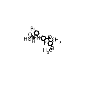 COc1ccc(C(=O)c2ccc(Nc3ccc(Br)cc3NC(=O)O)cc2F)c(C)c1